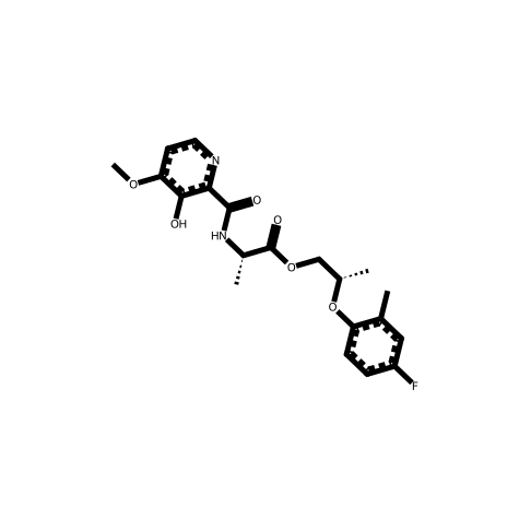 COc1ccnc(C(=O)N[C@@H](C)C(=O)OC[C@H](C)Oc2ccc(F)cc2C)c1O